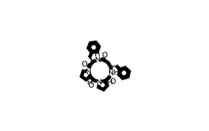 O=C1C[C@H](Cc2ccccc2)NC(=O)[C@H]2CCCN2C(=O)[C@H]2CCCN2C(=O)[C@@H](Cc2ccccc2)N1